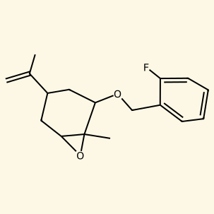 C=C(C)C1CC(OCc2ccccc2F)C2(C)OC2C1